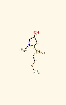 CSCC[SH](S)C1CC(O)CN1C